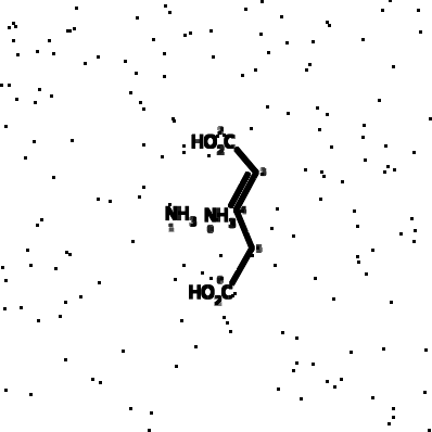 N.N.O=C(O)C=CCC(=O)O